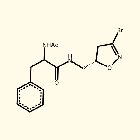 CC(=O)NC(Cc1ccccc1)C(=O)NC[C@@H]1CC(Br)=NO1